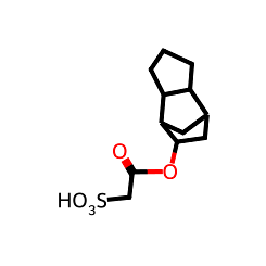 O=C(CS(=O)(=O)O)OC1CC2CC1C1CCCC21